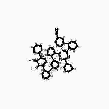 N#Cc1cccc(-c2ccccc2-c2nc(-c3ccccc3)nc(-c3ccccc3-c3cccc(-c4ccccc4C4=CC=C(c5ccccc5)C(=N)C4=N)c3)n2)c1